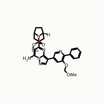 COCOc1cc(-c2cnn3c(N)cc(C4CC5CC[C@H](C4)N5C(=O)OC(C)(C)C)nc23)cnc1-c1ccccc1